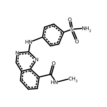 CNC(=O)c1cccc2cnc(Nc3ccc(S(N)(=O)=O)cc3)nc12